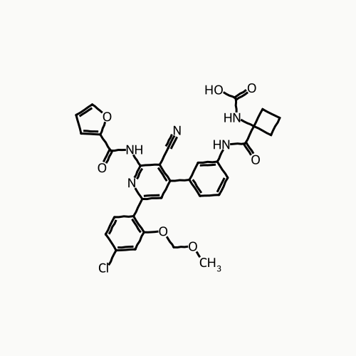 COCOc1cc(Cl)ccc1-c1cc(-c2cccc(NC(=O)C3(NC(=O)O)CCC3)c2)c(C#N)c(NC(=O)c2ccco2)n1